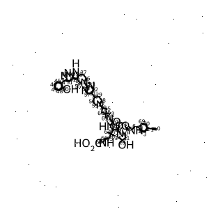 C#Cc1ccc(CNC(=O)[C@@H]2C[C@@H](O)CN2C(=O)C(NC(=O)N2CC3(CC(N4CCC(c5cnc(N6CCc7[nH]c8nnc(-c9ccccc9O)cc8c7[C@H]6C)nc5)CC4)C3)C2)C(C)(C)CCNC(=O)O)cc1